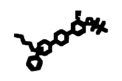 CCCCC[Si]1(c2ccccc2)CCC(C2CC=C(c3ccc(O[Si](C)(C)C(C)(C)C)c(F)c3)CC2)CC1